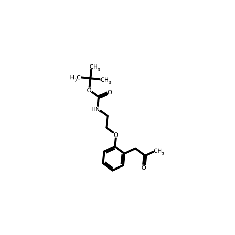 CC(=O)Cc1ccccc1OCCNC(=O)OC(C)(C)C